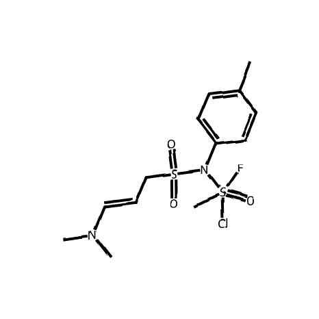 Cc1ccc(N(S(=O)(=O)CC=CN(C)C)S(C)(=O)(F)Cl)cc1